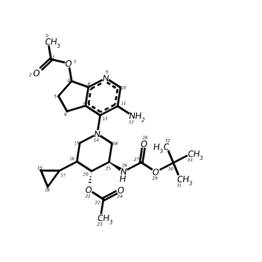 CC(=O)OC1CCc2c1ncc(N)c2N1CC(C2CC2)[C@@H](OC(C)=O)[C@H](NC(=O)OC(C)(C)C)C1